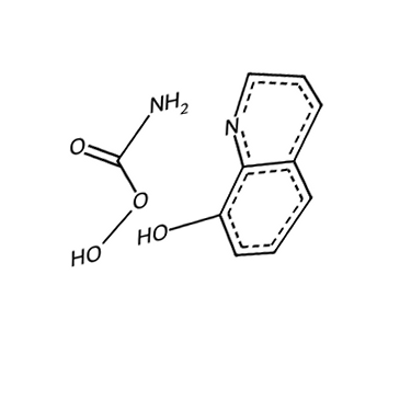 NC(=O)OO.Oc1cccc2cccnc12